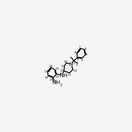 CC(C)(c1ccccc1)N1CCC(Nc2ccccc2N)CC1